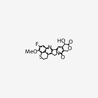 COc1c(F)cc2nc3c(c4c2c1SCC4)Cn1c-3cc2c(c1=O)COC(=O)C2O